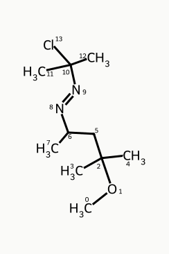 COC(C)(C)CC(C)/N=N/C(C)(C)Cl